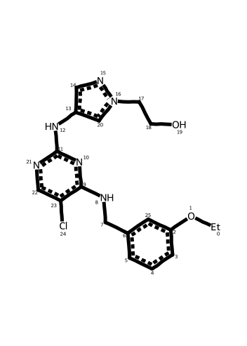 CCOc1cccc(CNc2nc(Nc3cnn(CCO)c3)ncc2Cl)c1